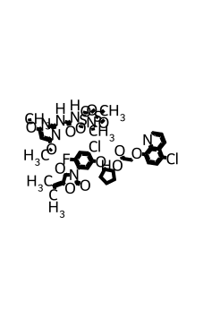 CC(C)=C1OC(=O)N(c2cc(OC3CCCC3)c(Cl)cc2F)C1=O.COc1cc(OC)nc(NC(=O)NS(=O)(=O)N(C)S(C)(=O)=O)n1.O=C(O)COc1ccc(Cl)c2cccnc12